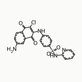 Nc1ccc2c(c1)C(=O)C(Nc1ccc(S(=O)(=O)Nc3ccccn3)cc1)=C(Cl)C2=O